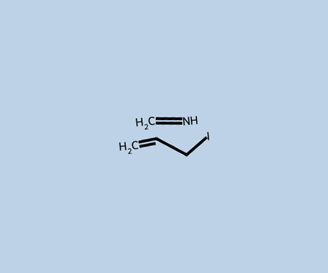 C=CCI.C=N